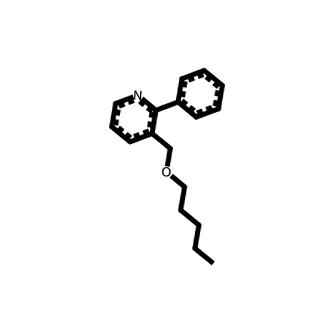 CCCCCOCc1cccnc1-c1ccccc1